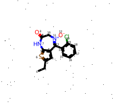 CCc1cc2c(s1)NC(=O)C[N+]([O-])=C2c1ccccc1Cl